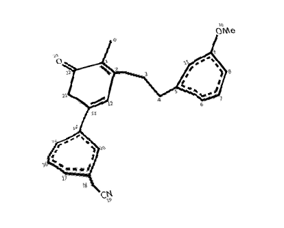 [CH2]C1=C(CCc2cccc(OC)c2)C=C(c2cccc(C#N)c2)CC1=O